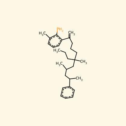 C=C(CCCC(C)(CCC)CC(C)CC(C)c1ccccc1)c1cccc(C)c1P